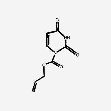 C=CCOC(=O)n1ccc(=O)[nH]c1=O